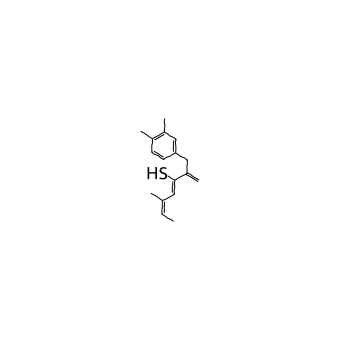 C=C(Cc1ccc(C)c(C)c1)/C(S)=C/C(C)=C\C